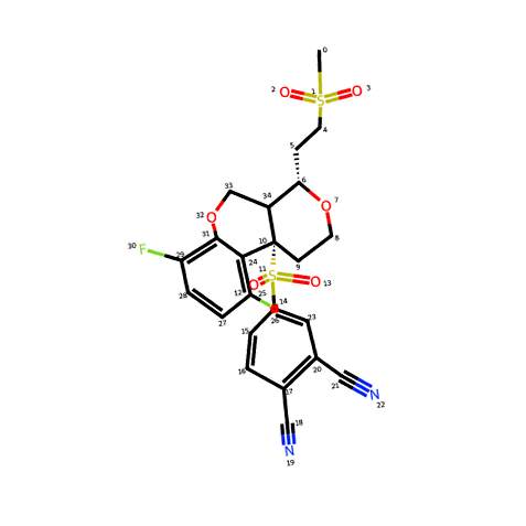 CS(=O)(=O)CC[C@@H]1OCC[C@@]2(S(=O)(=O)c3ccc(C#N)c(C#N)c3)c3c(F)ccc(F)c3OCC12